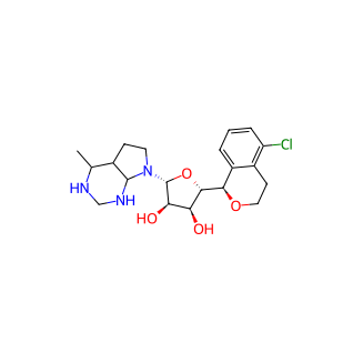 CC1NCNC2C1CCN2[C@@H]1O[C@H]([C@@H]2OCCc3c(Cl)cccc32)[C@@H](O)[C@H]1O